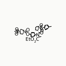 CCOC(=O)[C@H](C)N(C(=O)[C@@H]1CCCN1S(=O)(=O)c1ccc(C)cc1)c1ccc(OC(=O)N2CCN(S(C)(=O)=O)CC2)cc1